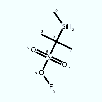 C[SiH2]C(C)(C)S(=O)(=O)OF